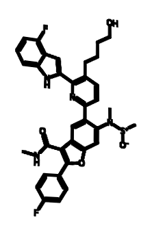 CNC(=O)c1c(-c2ccc(F)cc2)oc2cc(N(C)[S+](C)[O-])c(-c3ccc(CCCCO)c(-c4cc5c(F)cccc5[nH]4)n3)cc12